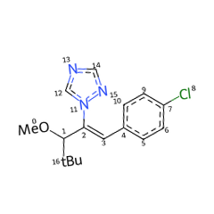 COC(C(=Cc1ccc(Cl)cc1)n1cncn1)C(C)(C)C